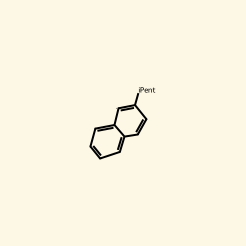 CCCC(C)c1[c]c2ccccc2cc1